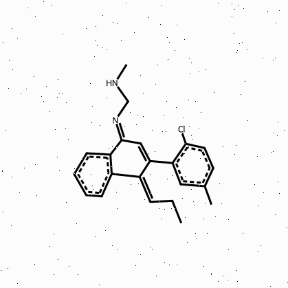 CC/C=C1C(c2cc(C)ccc2Cl)=C/C(=N\CNC)c2ccccc2\1